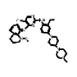 CCc1cc(N2CCC(N3CCN(C)CC3)CC2)ccc1Nc1ncc(Cl)c(Nc2cccc3c2N(SC)CCC3)n1